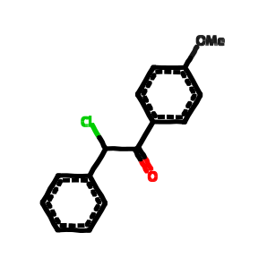 COc1ccc(C(=O)C(Cl)c2ccccc2)cc1